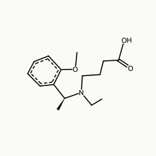 CCN(CCCC(=O)O)[C@@H](C)c1ccccc1OC